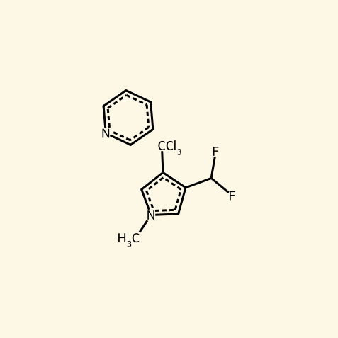 Cn1cc(C(F)F)c(C(Cl)(Cl)Cl)c1.c1ccncc1